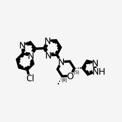 C[C@@H]1CN(c2ccnc(-c3cnc4ccc(Cl)cn34)n2)C[C@H](c2cn[nH]c2)O1